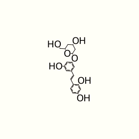 OCC1CC(O)CC(Oc2cc(O)cc(/C=C/c3ccc(O)cc3O)c2)O1